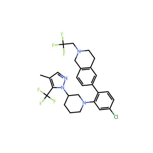 Cc1cnn(C2CCCN(c3cc(Cl)ccc3-c3ccc4c(c3)CCN(CC(F)(F)F)C4)C2)c1C(F)(F)F